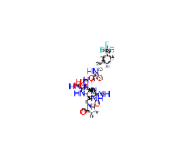 N=C1NC2[C@H](CN3C(=O)CCC3=O)NC(=N)N3C[C@H](OC(=O)NCCc4cccc(C(F)(F)F)c4)C(O)(O)C23N1